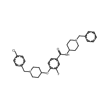 O=C(NC1CCN(Cc2ccccc2)CC1)c1ccc(OC2CCN(Cc3ccc(Cl)cc3)CC2)c(F)c1